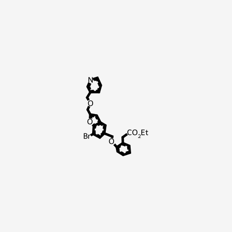 CCOC(=O)Cc1ccccc1OCc1cc(Br)c2oc(COCc3cccnc3)cc2c1